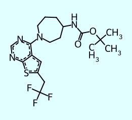 CC(C)(C)OC(=O)NC1CCCN(c2ncnc3sc(CC(F)(F)F)cc23)CC1